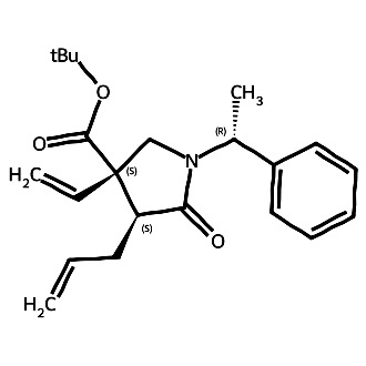 C=CC[C@@H]1C(=O)N([C@H](C)c2ccccc2)C[C@@]1(C=C)C(=O)OC(C)(C)C